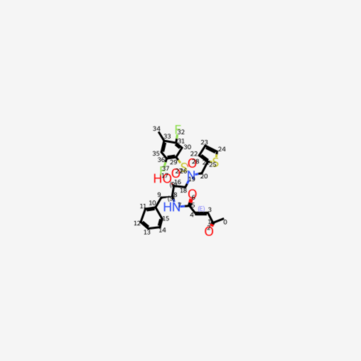 CC(=O)/C=C/C(=O)N[C@@H](Cc1ccccc1)[C@H](O)CN(Cc1cccs1)S(=O)(=O)c1cc(F)c(C)cc1F